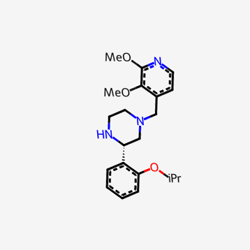 COc1nccc(CN2CCN[C@@H](c3ccccc3OC(C)C)C2)c1OC